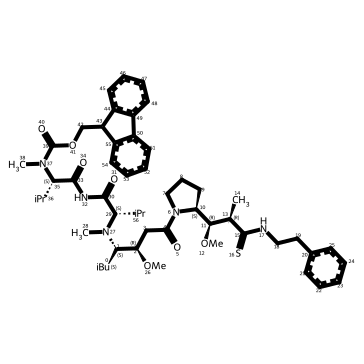 CC[C@H](C)[C@@H]([C@@H](CC(=O)N1CCC[C@H]1[C@H](OC)[C@@H](C)C(=S)NCCc1ccccc1)OC)N(C)[C@H](C(=O)NC(=O)[C@H](C(C)C)N(C)C(=O)OCC1c2ccccc2-c2ccccc21)C(C)C